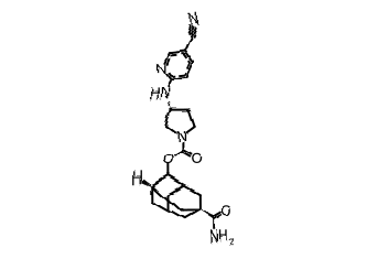 N#Cc1ccc(N[C@@H]2CCN(C(=O)OC3C4CC5C[C@H]3C[C@@](C(N)=O)(C5)C4)C2)nc1